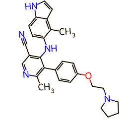 Cc1ncc(C#N)c(Nc2ccc3[nH]ccc3c2C)c1-c1ccc(OCCN2CCCC2)cc1